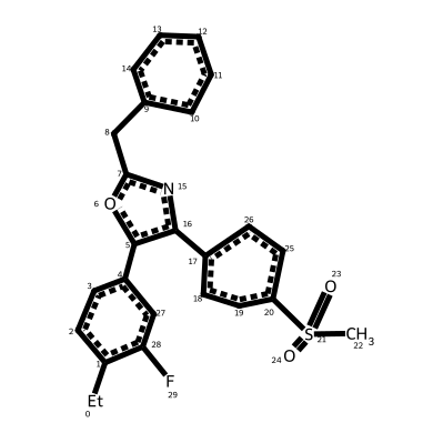 CCc1ccc(-c2oc(Cc3ccccc3)nc2-c2ccc(S(C)(=O)=O)cc2)cc1F